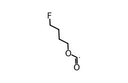 O=[C]OCCCCF